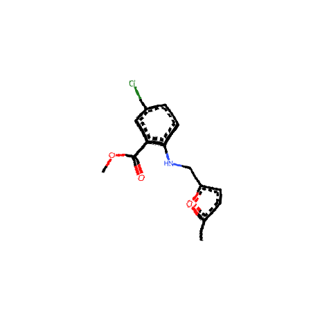 COC(=O)c1cc(Cl)ccc1NCc1ccc(C)o1